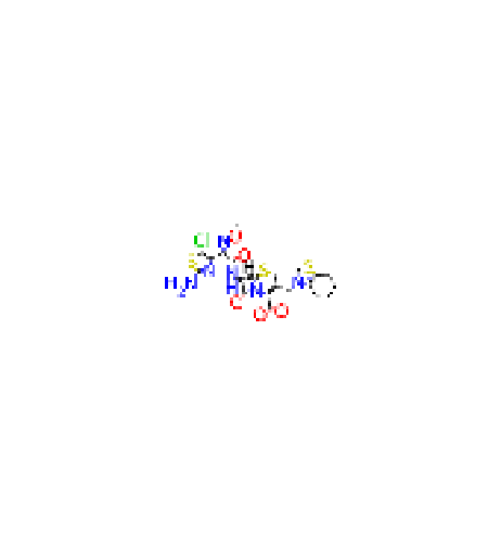 CO/N=C(\C(=O)N[C@@H]1C(=O)N2C(C(=O)[O-])=C(C[n+]3csc4c3CCCC4)CS[C@@H]12)c1nc(N)sc1Cl